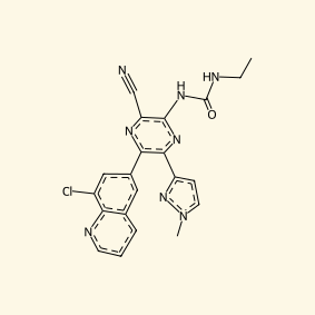 CCNC(=O)Nc1nc(-c2ccn(C)n2)c(-c2cc(Cl)c3ncccc3c2)nc1C#N